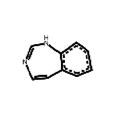 C1=Cc2ccccc2NC=N1